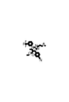 CCOC(=O)C1=C(C)N(c2cccc(C(F)(F)F)c2)c2nc(CCN(C)C)nn2C1c1ccc(C#N)cc1